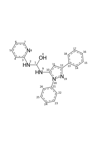 OC(Nc1ccccn1)Nc1cc(-c2ccccc2)nn1-c1ccccc1